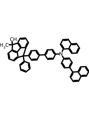 CC1(C)c2cccc3c2-c2c1cccc2C3(c1ccccc1)c1ccc(-c2ccc(N(c3ccc(-c4cccc5ccccc45)cc3)c3cccc4ccccc34)cc2)cc1